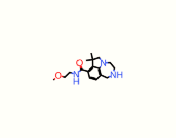 COCCNC(=O)c1ccc2c3c1C(C)(C)CN3CCNC2